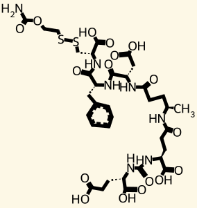 C[C@H](CCC(=O)N[C@@H](CC(=O)O)C(=O)N[C@H](Cc1ccccc1)C(=O)N[C@H](CSSCCOC(N)=O)C(=O)O)NC(=O)CC[C@H](NC(=O)N[C@@H](CCC(=O)O)C(=O)O)C(=O)O